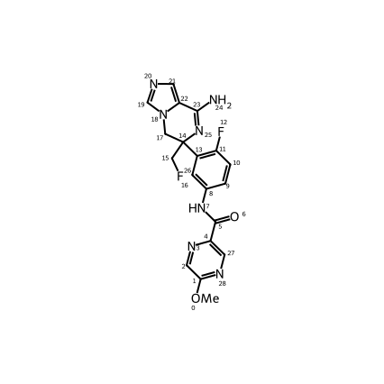 COc1cnc(C(=O)Nc2ccc(F)c(C3(CF)Cn4cncc4C(N)=N3)c2)cn1